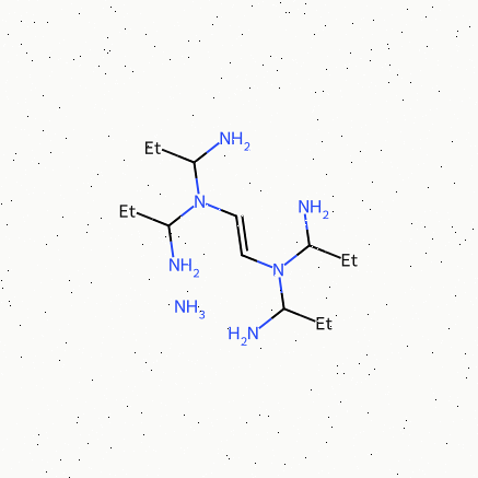 CCC(N)N(/C=C/N(C(N)CC)C(N)CC)C(N)CC.N